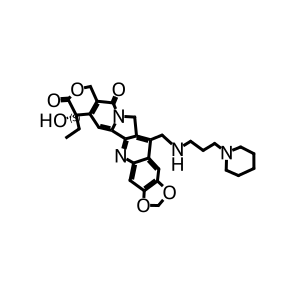 CC[C@@]1(O)C(=O)OCc2c1cc1n(c2=O)Cc2c-1nc1cc3c(cc1c2CNCCCN1CCCCC1)OCO3